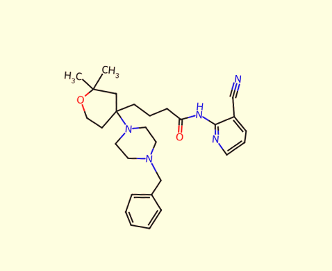 CC1(C)CC(CCCC(=O)Nc2ncccc2C#N)(N2CCN(Cc3ccccc3)CC2)CCO1